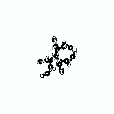 O=c1cc(-c2cn(COP(=O)(OCn3cc(-c4ccn(Cc5ccc(Cl)cc5)c(=O)c4)c4cc(N5CCOCC5)cnc43)OCn3cc(-c4ccn(Cc5ccc(Cl)cc5)c(=O)c4)c4cc(N5CCOCC5)cnc43)c3ncc(N4CCOCC4)cc23)ccn1Cc1ccc(Cl)cc1